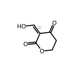 O=C1CCOC(=O)/C1=C\O